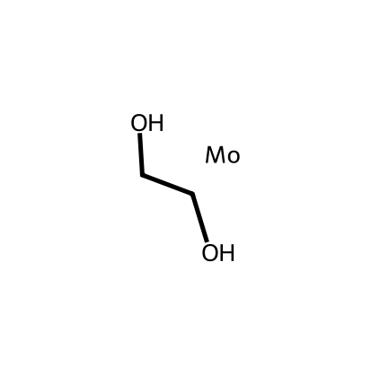 OCCO.[Mo]